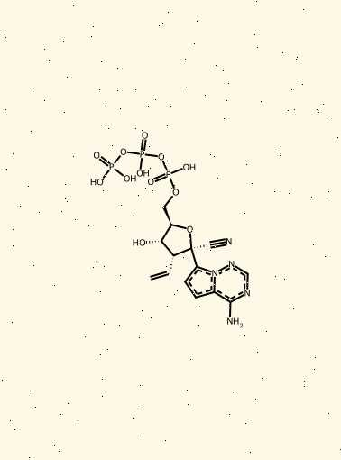 C=C[C@@H]1[C@H](O)[C@@H](COP(=O)(O)OP(=O)(O)OP(=O)(O)O)O[C@@]1(C#N)c1ccc2c(N)ncnn12